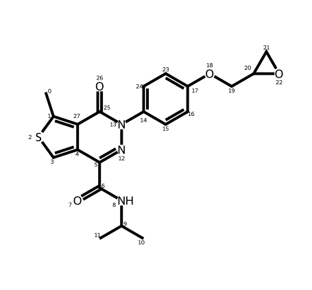 Cc1scc2c(C(=O)NC(C)C)nn(-c3ccc(OCC4CO4)cc3)c(=O)c12